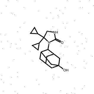 O=C1NCC(C2CC2)(C2CC2)N1C1C2CC3CC1CC(O)(C3)C2